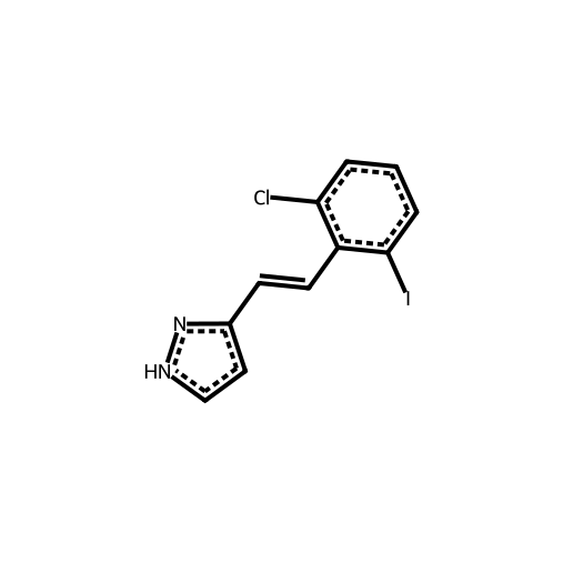 Clc1cccc(I)c1/C=C/c1cc[nH]n1